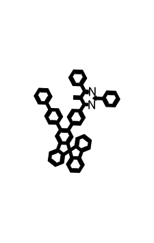 C=C1C(c2ccccc2)=NC(c2ccccc2)=NC1c1ccc(-c2cc3c(cc2-c2ccc(-c4ccccc4)cc2)-c2ccccc2C32c3ccccc3-c3ccccc32)cc1